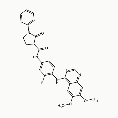 COc1cc2ncnc(Nc3ccc(NC(=O)C4CCN(c5ccccc5)C4=O)cc3F)c2cc1OC